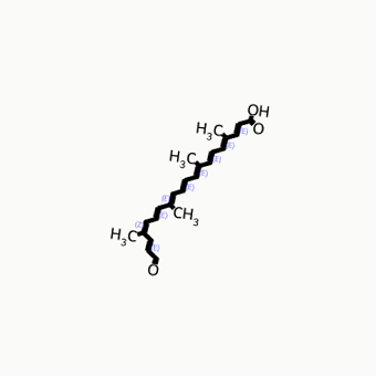 CC(=C/C=C/C(C)=C/C=C/C=C(C)/C=C/C=C(C)/C=C/C(=O)O)/C=C/C=O